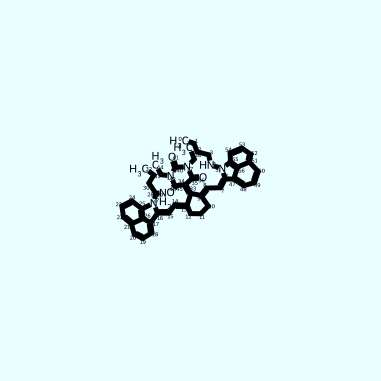 CCCCNn1/c(=C\C=C2/CCC/C(=C\C=c3\c4cccc5cccc(c54)n3C(N)CCC)C2=C2C(=O)N(CC)C(=O)N(CC)C2=O)c2cccc3cccc1c32